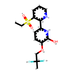 CCS(=O)(=O)c1cccnc1-c1ccc(OCC(C)(F)F)c(O)n1